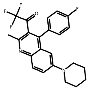 Cc1nc2ccc(N3CCCCC3)cc2c(-c2ccc(F)cc2)c1C(=O)C(F)(F)F